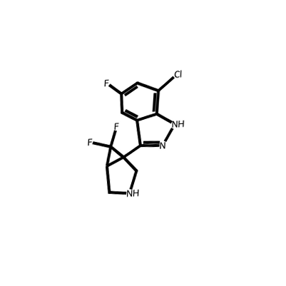 Fc1cc(Cl)c2[nH]nc(C34CNCC3C4(F)F)c2c1